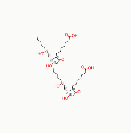 CCCCC[C@H](O)/C=C/[C@H]1[C@H](O)CC(=O)[C@@H]1CCCCCCC(=O)O.CCCCC[C@H](O)/C=C/[C@H]1[C@H](O)CC(=O)[C@@H]1CCCCCCC(=O)O